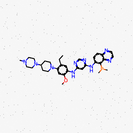 CCc1cc(Nc2cc(Nc3ccc4nccnc4c3P(C)C)ncn2)c(OC)cc1N1CCC(N2CCN(C)CC2)CC1